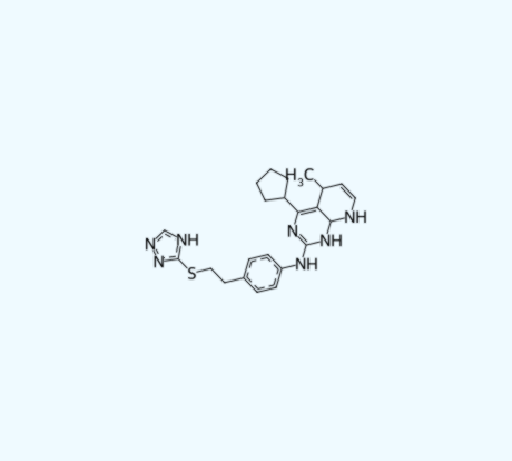 CC1C=CNC2NC(Nc3ccc(CCSc4nnc[nH]4)cc3)=NC(C3CCCC3)=C12